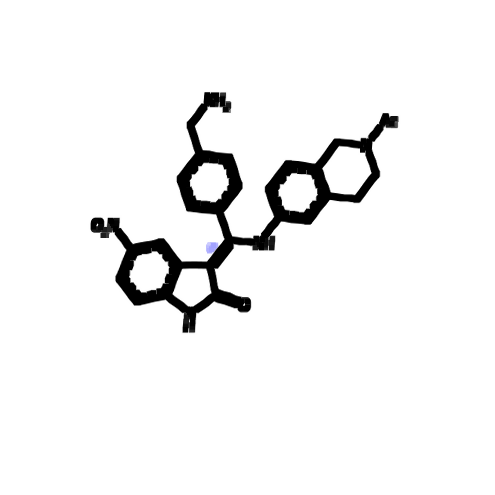 CC(=O)N1CCc2cc(N/C(=C3\C(=O)Nc4ccc([N+](=O)[O-])cc43)c3ccc(CN)cc3)ccc2C1